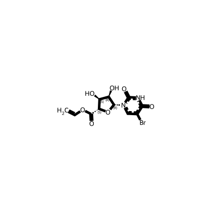 C=COC(=O)[C@H]1O[C@@H](n2cc(Br)c(=O)[nH]c2=O)[C@H](O)[C@@H]1O